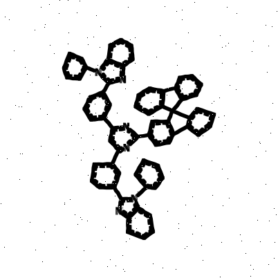 c1ccc(-n2c(-c3cccc(-c4cc(-c5cccc(-c6nc7ccccc7n6-c6ccccc6)c5)nc(-c5ccc6c(c5)C5(c7ccccc7-c7ccccc75)c5ccccc5-6)n4)c3)nc3ccccc32)cc1